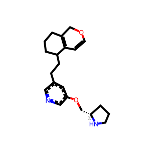 C1=CC2=C(CCCC2CCc2cncc(OC[C@@H]3CCCN3)c2)CO1